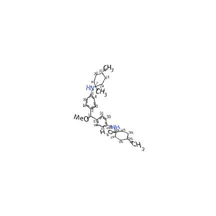 COC(c1ccc(NC2(C)CCC(C)CC2)cc1)c1ccc(NC2(C)CCC(C)CC2)cc1